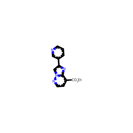 CCOC(=O)c1ccnn2cc(-c3cccnc3)nc12